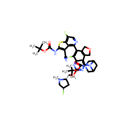 CN1C[C@H](F)C[C@H]1COc1nc(N2C3CC2CN(C(=O)OC(C)(C)C)C3)c2c3c(c(-c4ncc(F)c5sc(NC(=O)OC(C)(C)C)c(C#N)c45)c(F)c2n1)COC3